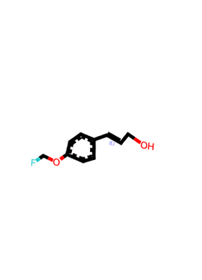 OC/C=C/c1ccc(OCF)cc1